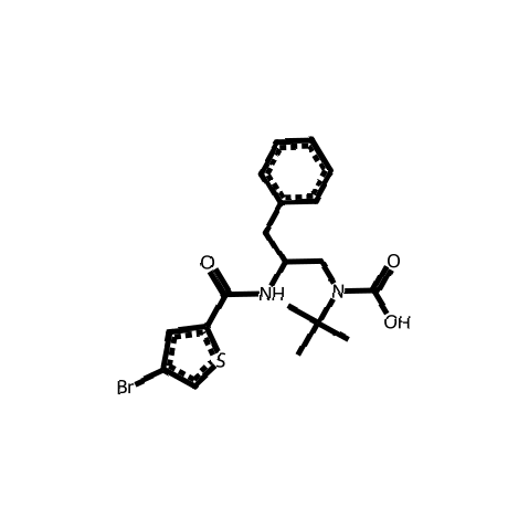 CC(C)(C)N(CC(Cc1ccccc1)NC(=O)c1cc(Br)cs1)C(=O)O